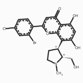 CN1CC[C@@H](c2c(O)cc(O)c3c(=O)cc(-c4ccc(Cl)cc4Br)oc23)[C@@H]1CO